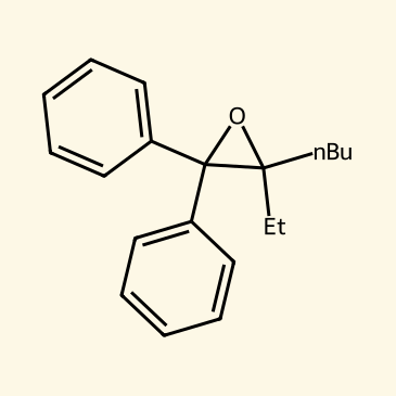 CCCCC1(CC)OC1(c1ccccc1)c1ccccc1